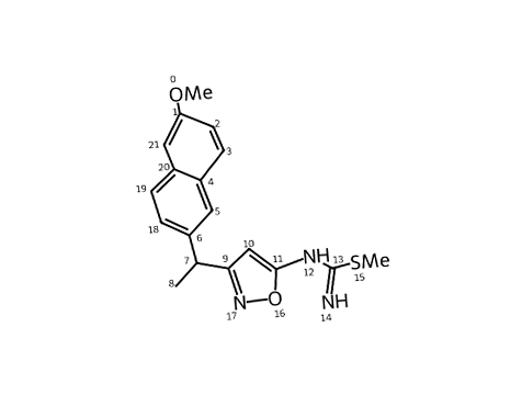 COc1ccc2cc(C(C)c3cc(NC(=N)SC)on3)ccc2c1